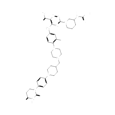 CC(=O)NC1CCCN(c2nnc(C(N)=O)c(Nc3ccc(N4CCN(CC5CCN(c6ccc(N7CCC(=O)NC7=O)cc6)CC5)CC4)c(F)c3)n2)C1